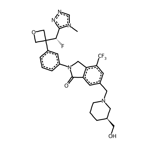 Cn1cnnc1[C@H](F)C1(c2cccc(N3Cc4c(cc(CN5CCC[C@H](CO)C5)cc4C(F)(F)F)C3=O)c2)COC1